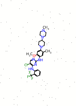 COc1cc(N2CCC(N3CCN(C)CC3)CC2)c(C)cc1Nc1ncc(Cl)c(Nc2ccccc2C(F)(F)F)n1